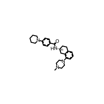 CN1CCN(c2cccc3c2C[C@H](NC(=O)c2ccc(N4CCCCC4)cc2)CC3)CC1